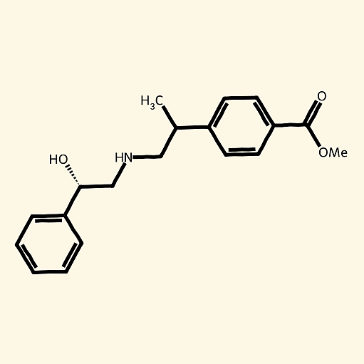 COC(=O)c1ccc(C(C)CNC[C@@H](O)c2ccccc2)cc1